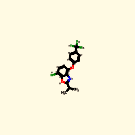 CC(C)c1nc2c(Oc3ccc(C(F)(F)F)cc3)ccc(Br)c2o1